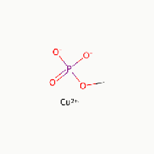 COP(=O)([O-])[O-].[Cu+2]